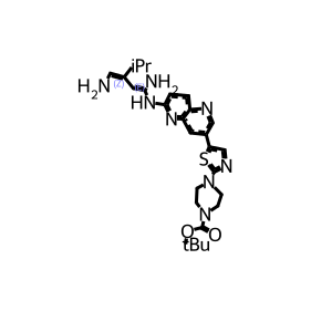 CC(C)C(=C/N)/C=C(\N)Nc1ccc2ncc(-c3cnc(N4CCN(C(=O)OC(C)(C)C)CC4)s3)cc2n1